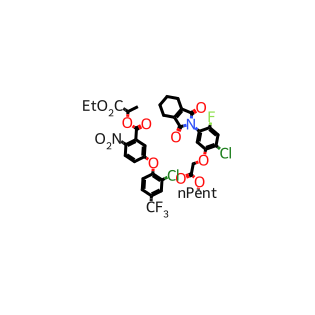 CCCCCOC(=O)COc1cc(N2C(=O)C3=C(CCCC3)C2=O)c(F)cc1Cl.CCOC(=O)C(C)OC(=O)c1cc(Oc2ccc(C(F)(F)F)cc2Cl)ccc1[N+](=O)[O-]